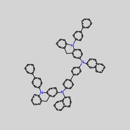 c1ccc(-c2ccc(N3c4ccccc4Cc4cc(N(c5ccc(-c6ccc(N(c7ccc8c(c7)Cc7ccccc7N8c7ccc(-c8ccccc8)cc7)c7cccc8ccccc78)cc6)cc5)c5ccc6ccccc6c5)ccc43)cc2)cc1